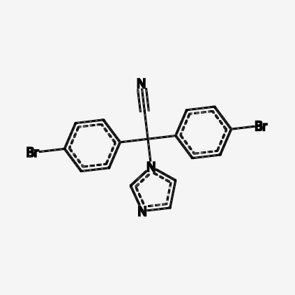 N#CC(c1ccc(Br)cc1)(c1ccc(Br)cc1)n1ccnc1